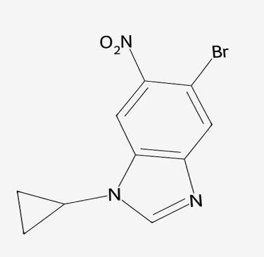 O=[N+]([O-])c1cc2c(cc1Br)ncn2C1CC1